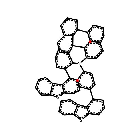 c1ccc(-c2cccc3cccc(-c4ccccc4N(c4ccc(-c5cccc6sc7ccccc7c56)cc4)c4ccccc4-c4cccc5sc6ccccc6c45)c23)cc1